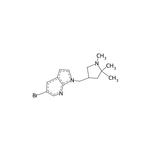 CN1CC(Cn2ccc3cc(Br)cnc32)CC1(C)C